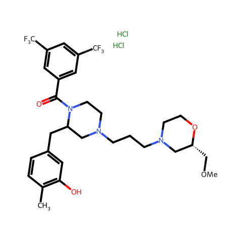 COC[C@@H]1CN(CCCN2CCN(C(=O)c3cc(C(F)(F)F)cc(C(F)(F)F)c3)C(Cc3ccc(C)c(O)c3)C2)CCO1.Cl.Cl